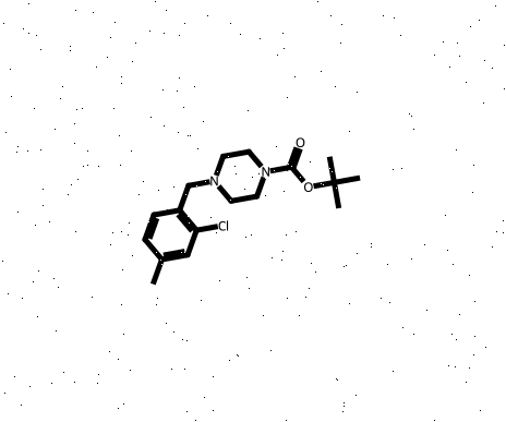 Cc1ccc(CN2CCN(C(=O)OC(C)(C)C)CC2)c(Cl)c1